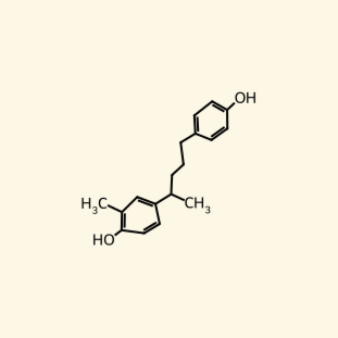 Cc1cc(C(C)CCCc2ccc(O)cc2)ccc1O